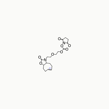 O=C(OCCOCCN1C(=O)OC2CC/C=C/CCC21)ON1C(=O)CCC1=O